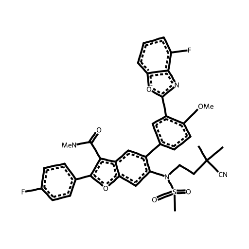 CNC(=O)c1c(-c2ccc(F)cc2)oc2cc(N(CCC(C)(C)C#N)S(C)(=O)=O)c(-c3ccc(OC)c(-c4nc5c(F)cccc5o4)c3)cc12